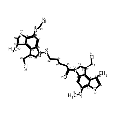 COc1cc2c(c3c(C)csc13)[C@H](CCl)CN2C(=O)CCCCON1CC(CCl)c2c1cc(OCO)c1scc(C)c21